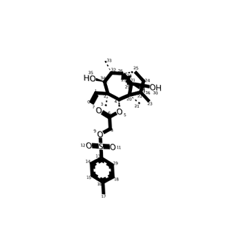 C=C[C@]1(C)[C@@H](OC(=O)COS(=O)(=O)c2ccc(C)cc2)[C@]2(C)C(C)CC[C@]3(CCC(O)[C@H]32)[C@@H](C)[C@@H]1O